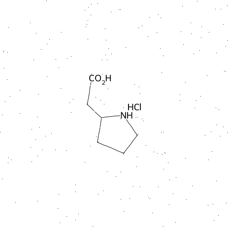 Cl.O=C(O)CC1CCCN1